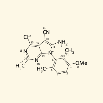 COc1ccc(C)c(-n2c(N)c(C#N)c3c(Cl)nc(C)nc32)c1C